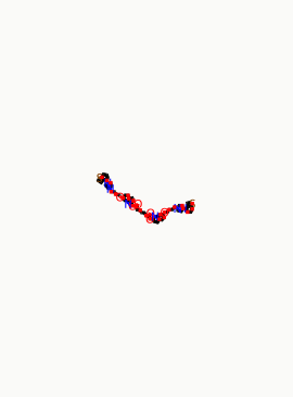 O=C(CCCCCC(=O)Oc1ccc2ccc(OCCCCN3CCN(c4cccc5sccc45)CC3)cc2n1)Oc1ccc2ccc(OCCCCN3CCN(c4cccc5sccc45)CC3)cc2n1